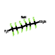 CCOC(=O)C(F)(F)C(F)(F)C(F)(F)C(F)(F)C(F)(F)C(F)(F)C(F)(F)F.[NaH]